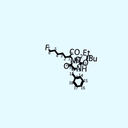 CCOC(=O)C(CCCCCF)NC(=O)[C@@H](Cc1ccccc1)NC(=O)OC(C)(C)C